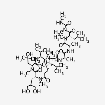 CCCC(=O)N(C)[C@H](CC(CO)CO)C(=O)N(C)[C@@H](CC(C)(C)O)C(=O)N[C@H](C(=O)N(C)[C@@H](CC(C)C)C(=O)N[C@H](C)C(=O)N[C@@H](C)C(=O)N(C)[C@@H](CC(C)C)C(=O)N(C)C(=O)NC)C(C)C